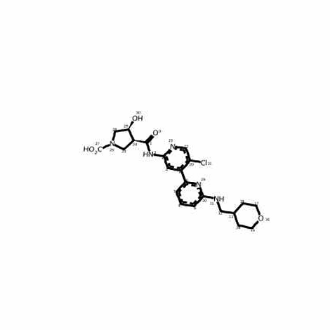 O=C(Nc1cc(-c2cccc(NCC3CCOCC3)n2)c(Cl)cn1)[C@H]1CN(C(=O)O)C[C@H]1O